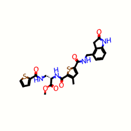 COC(=O)[C@H](CNC(=O)c1cccs1)NC(=O)c1sc(C(=O)NCc2cccc3c2CC(=O)N3)cc1C